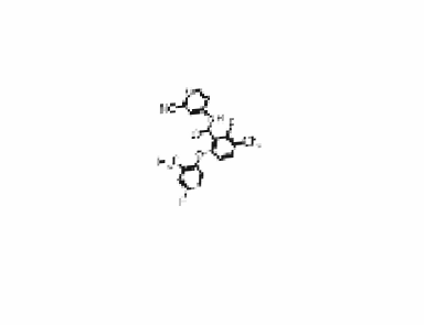 Cc1cc(F)ccc1Oc1ccc(C(F)(F)F)c(F)c1C(=O)Nc1ccnc(C#N)c1